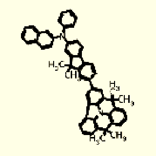 CC1(C)c2cc(-c3cc4c5c(c3)c3cccc6c3n5-c3c(cccc3C4(C)C)C6(C)C)ccc2-c2ccc(N(c3ccccc3)c3ccc4ccccc4c3)cc21